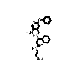 CC(C)(C)CCNC(=O)CC(NCc1cc(Oc2ccccc2)ncc1N)C1CCCCC1